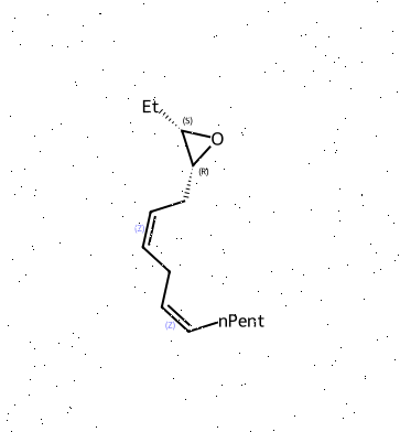 CCCCC/C=C\C/C=C\C[C@H]1O[C@H]1CC